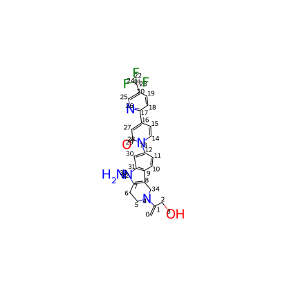 C=C(CO)N1CCc2c(c3ccc(-n4ccc(-c5ccc(C(F)(F)F)cn5)cc4=O)cc3n2N)C1